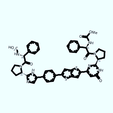 COC(=O)N[C@@H](C(=O)N1CCC[C@H]1c1nc(-c2cc3sc(-c4ccc(-c5cnc([C@@H]6CCCN6C(=O)[C@H](NC(=O)O)c6ccccc6)[nH]5)cc4)cc3s2)cc(=O)[nH]1)c1ccccc1